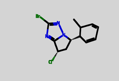 CC1C=CC=CC1[C@@H]1C[C@H](Cl)c2nc(Br)nn21